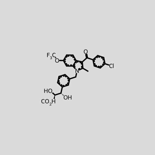 Cc1c(C(=O)c2ccc(Cl)cc2)c2ccc(OC(F)(F)F)cc2n1Cc1cccc([C@H](O)[C@H](O)C(=O)O)c1